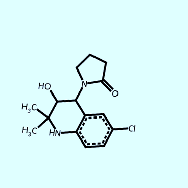 CC1(C)Nc2ccc(Cl)cc2C(N2CCCC2=O)C1O